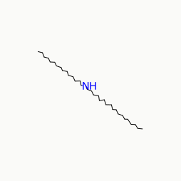 CCCCCCCCCCCCCCCCCCNCCCCCCCCCCCCCCC